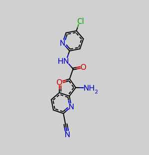 N#Cc1ccc2oc(C(=O)Nc3ccc(Cl)cn3)c(N)c2n1